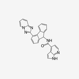 O=C(NC1c2ccccc2-c2c(-c3nc4ccccn4n3)cccc21)c1ccnc2[nH]ccc12